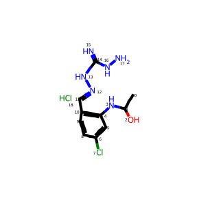 CC(O)Nc1cc(Cl)ccc1C=NNC(=N)NN.Cl